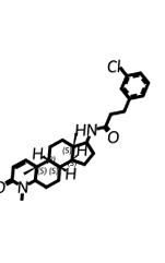 CN1C(=O)C=C[C@@]2(C)C1CC[C@@H]1[C@H]2CC[C@]2(C)C(NC(=O)CCc3cccc(Cl)c3)CC[C@@H]12